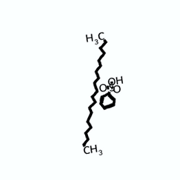 CCCCCCCCCCCCCCCCCCCC.O=S(=O)(O)c1ccccc1